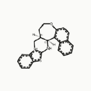 c1ccc2c3c(ccc2c1)OCC[C@@H]1C[n+]2c(sc4ccccc42)N[C@H]31